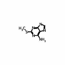 CSc1nc(N)c2c(n1)[N]C=N2